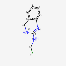 FCNC1=Nc2ccccc2CN1